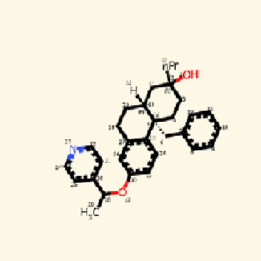 CCC[C@@]1(O)CC[C@@]2(Cc3ccccc3)c3ccc(OC(C)c4ccncc4)cc3CC[C@@H]2C1